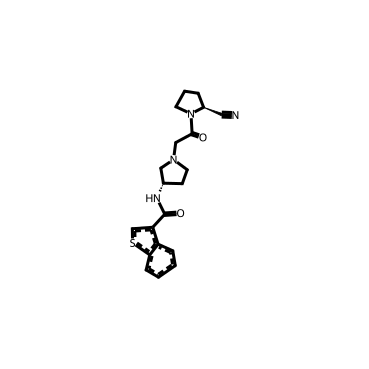 N#C[C@@H]1CCCN1C(=O)CN1CC[C@H](NC(=O)c2csc3ccccc23)C1